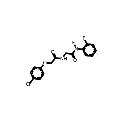 O=C(COc1ccc(Cl)cc1)NCC(=O)N(F)c1ccccc1F